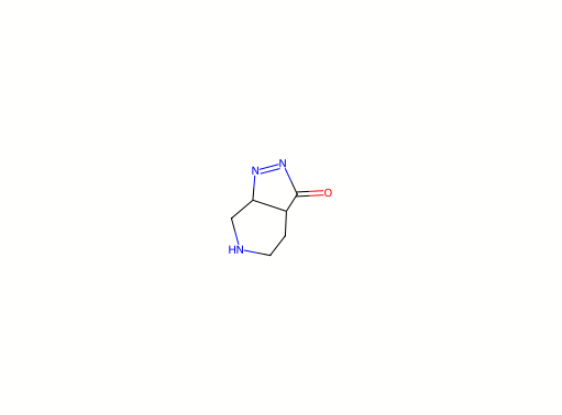 O=C1N=NC2CNCCC12